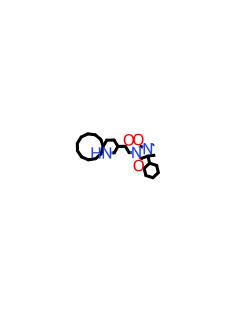 CN1C(=O)N(CC(=O)C2CCC3(CCCCCCCCCC3)NC2)C(=O)C1(C)C1CCCCC1